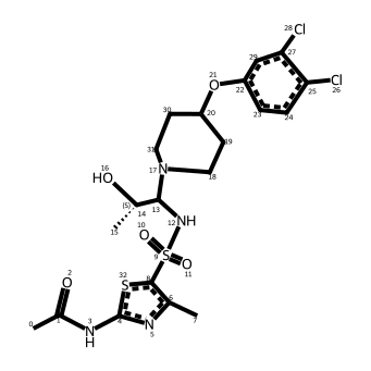 CC(=O)Nc1nc(C)c(S(=O)(=O)NC([C@H](C)O)N2CCC(Oc3ccc(Cl)c(Cl)c3)CC2)s1